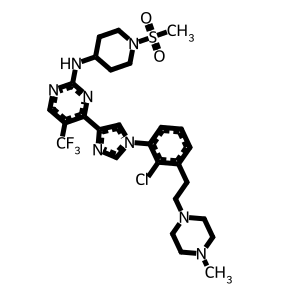 CN1CCN(CCc2cccc(-n3cnc(-c4nc(NC5CCN(S(C)(=O)=O)CC5)ncc4C(F)(F)F)c3)c2Cl)CC1